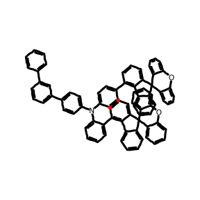 c1ccc(-c2cccc(-c3ccc(N(c4ccc(-c5cccc6c5-c5ccccc5C65c6ccccc6Oc6ccccc65)cc4)c4ccccc4-c4cccc5c4-c4ccccc4C54c5ccccc5Oc5ccccc54)cc3)c2)cc1